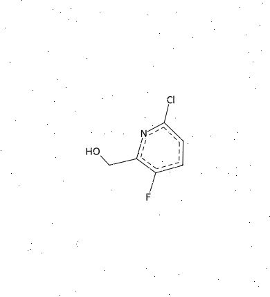 OCc1nc(Cl)ccc1F